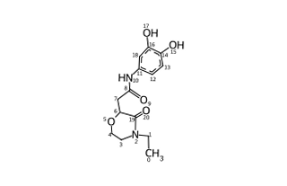 CCN1CCOC(CC(=O)Nc2ccc(O)c(O)c2)C1=O